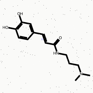 CN(C)CCCNC(=O)/C=C/c1ccc(O)c(O)c1